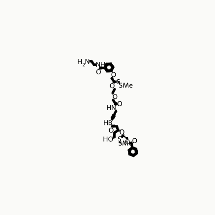 CSSC(COc1cccc(C(=O)NCCN)c1)OCCOCC(=O)NCC#CB[C@H]1C[C@@H](O[C@@H](COC(=O)c2ccccc2)SSC)C(CO)O1